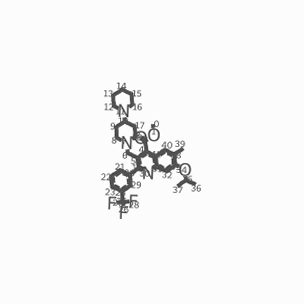 COC(=O)c1c(CN2CCC(N3CCCCC3)CC2)c(-c2cccc(C(F)(F)F)c2)nc2cc(OC(C)C)c(C)cc12